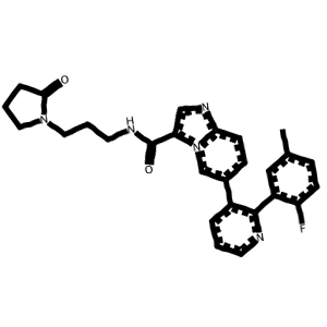 Cc1ccc(F)c(-c2ncccc2-c2ccc3ncc(C(=O)NCCCN4CCCC4=O)n3c2)c1